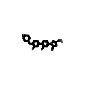 C[C@H]1CN(c2ccc(-c3ccc(CN4CCNCC4)c(F)c3)c(F)c2)C(=O)O1